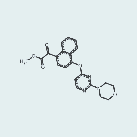 COC(=O)C(=O)c1ccc(Oc2ccnc(N3CCOCC3)n2)c2ccccc12